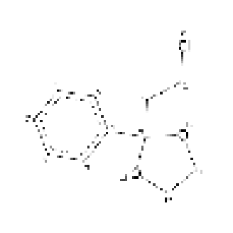 ClCCC1(c2ccccc2)OCCO1